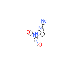 CC(=O)N1CCc2c(c(-c3cccc4cc(-c5cnn(C)c5)nc(C)c34)nn2C2CCOCC2)C1